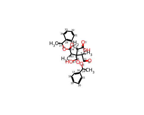 C=C(C(=O)O)C(C(=O)O)(C(C)C(=O)OC(C)c1ccccc1)C(C)C(=O)OC(C)c1ccccc1